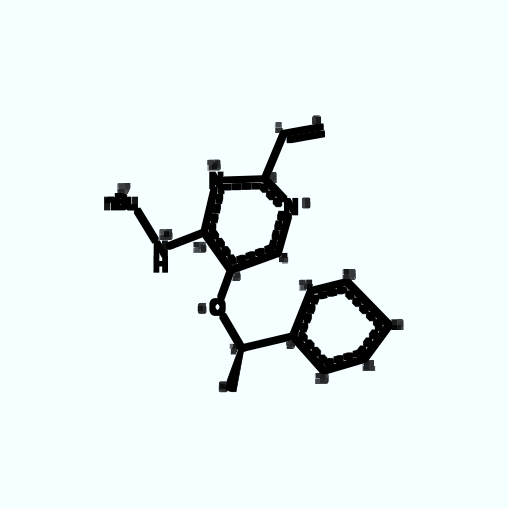 C=Cc1ncc(O[C@H](C)c2ccccc2)c(NCCCC)n1